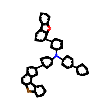 c1ccc(-c2ccc(N(c3ccc(-c4ccc5ccc6sc7ccccc7c6c5c4)cc3)c3cccc(-c4cccc5c4oc4ccccc45)c3)cc2)cc1